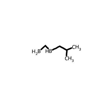 BCBCC(C)C